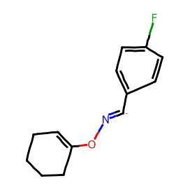 Fc1ccc([C]=NOC2=CCCCC2)cc1